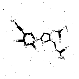 CC#Cc1cn([C@H]2C[C@H](OC(C)=O)[C@@H](COC(C)=O)O2)c(=O)[nH]c1=O